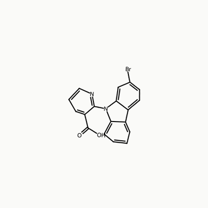 O=C(O)c1cccnc1-n1c2ccccc2c2ccc(Br)cc21